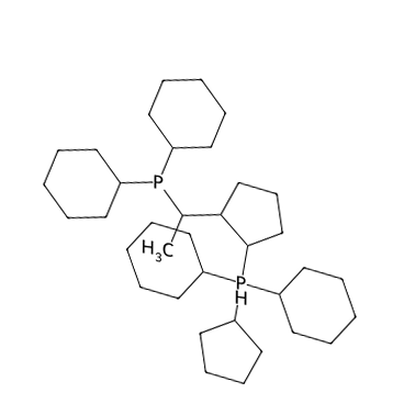 CC(C1CCCC1[PH](C1CCCCC1)(C1CCCCC1)C1CCCC1)P(C1CCCCC1)C1CCCCC1